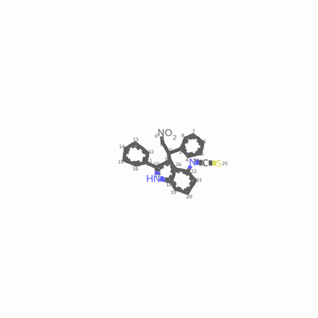 O=[N+]([O-])CC(c1ccccc1)c1c(-c2ccccc2)[nH]c2cccc(N=C=S)c12